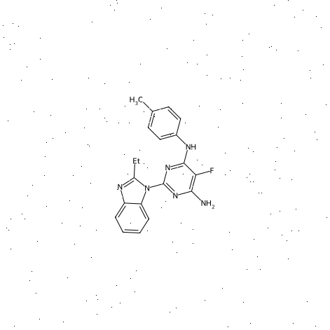 CCc1nc2ccccc2n1-c1nc(N)c(F)c(Nc2ccc(C)cc2)n1